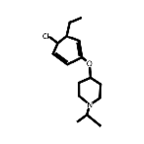 CCC1C=C(OC2CCN(C(C)C)CC2)C=CC1Cl